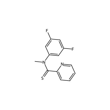 CN(C(=S)c1ccccn1)c1cc(F)cc(F)c1